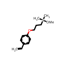 C=Cc1ccc(OCCC[Si](C)(C)OC)cc1